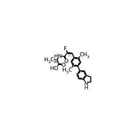 Cc1cc(-c2ccc3c(c2)CCN3)c(C)cc1/C=C(/F)C(=O)N[C@H](C)C(=O)O